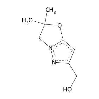 CC1(C)Cn2nc(CO)cc2O1